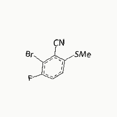 CSc1ccc(F)c(Br)c1C#N